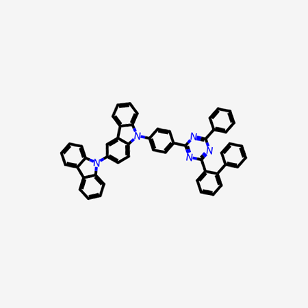 c1ccc(-c2nc(-c3ccc(-n4c5ccccc5c5cc(-n6c7ccccc7c7ccccc76)ccc54)cc3)nc(-c3ccccc3-c3ccccc3)n2)cc1